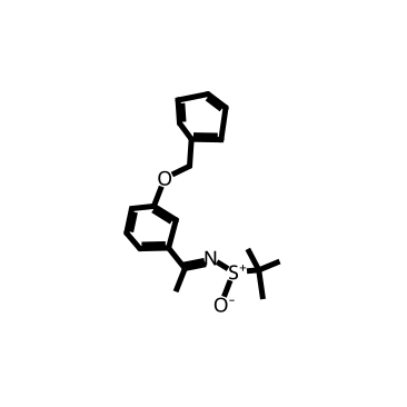 CC(=N[S+]([O-])C(C)(C)C)c1cccc(OCc2ccccc2)c1